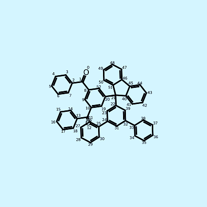 O=C(c1ccccc1)c1cc(C(=O)c2ccccc2)cc(C2(c3cc(-c4ccccc4)cc(-c4ccccc4)c3)c3ccccc3-c3ccccc32)c1